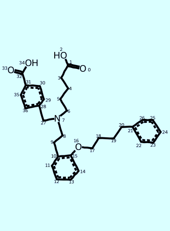 O=C(O)CCCCN(CCc1ccccc1OCCCCc1ccccc1)Cc1ccc(C(=O)O)cc1